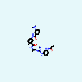 C=CC(=O)Nc1cccc(N/C(N=C)=N/C=C(\C)NC(=O)c2cc(NC(=O)c3cccc(N(C)C)c3)ccc2C)c1